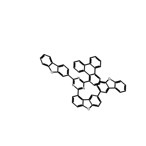 c1ccc2c(c1)oc1cc(-c3nc(-c4cccc5oc6ccc(-c7ccc8oc9ccccc9c8c7)cc6c45)nc(-c4cccc5c6ccccc6c6ccccc6c45)n3)ccc12